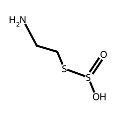 NCCSS(=O)O